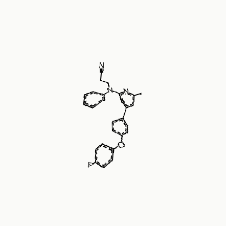 Cc1cc(-c2ccc(Oc3ccc(F)cc3)cc2)cc(N(CCC#N)c2ccccc2)n1